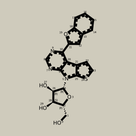 OC[C@H]1O[C@@H](n2c3ncnc(-c4cc5ccccc5o4)c3c3ccsc32)[C@H](O)[C@@H]1O